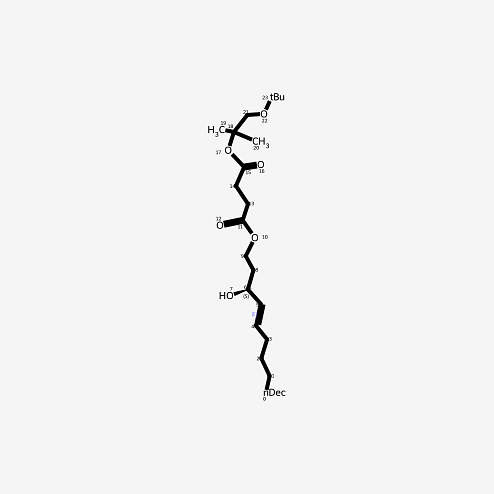 CCCCCCCCCCCCC/C=C/[C@@H](O)CCOC(=O)CCC(=O)OC(C)(C)COC(C)(C)C